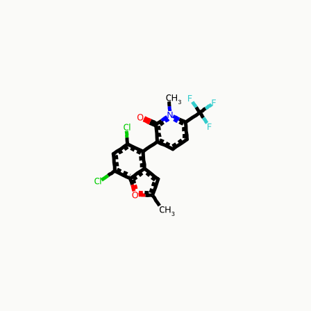 Cc1cc2c(-c3ccc(C(F)(F)F)n(C)c3=O)c(Cl)cc(Cl)c2o1